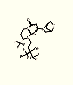 O=c1cc(N2CC3CC2CO3)nc2n1CC[C@@H](C(F)(F)F)N2CCC(O)(C(F)(F)F)C(F)(F)F